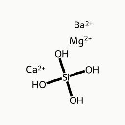 O[Si](O)(O)O.[Ba+2].[Ca+2].[Mg+2]